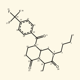 CCCCN1CC2N(C(=O)c3ccc(C(F)(F)F)cc3)CCC(=O)N2C(C)C1=O